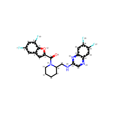 O=C(c1cc2cc(F)cc(F)c2o1)N1CCCCC1CNc1cnc2cc(F)c(F)cc2n1